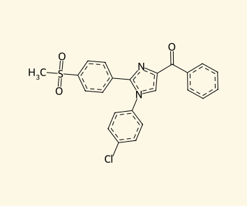 CS(=O)(=O)c1ccc(-c2nc(C(=O)c3ccccc3)cn2-c2ccc(Cl)cc2)cc1